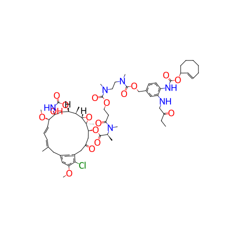 CCC(=O)CNc1cc(COC(=O)N(C)CCN(C)C(=O)OCCC(=O)N(C)[C@@H](C)C(=O)O[C@H]2CC(=O)Cc3cc(cc(OC)c3Cl)C/C(C)=C/C=C/[C@@H](OC)[C@@]3(O)C[C@H](OC(=O)N3)[C@@H](C)[C@@H]3O[C@@]23C)ccc1NC(=O)OC1/C=C/CCCCC1